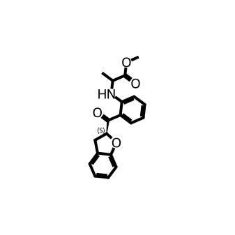 COC(=O)C(C)Nc1ccccc1C(=O)[C@@H]1Cc2ccccc2O1